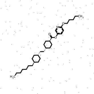 CCCCCCC[C@H]1CC[C@H](CC[C@H]2CC[C@H](C(=O)Oc3ccc(OCCCCC)nc3)CC2)CC1